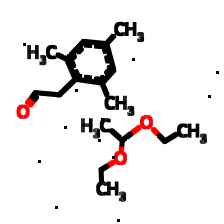 CCOC(C)OCC.Cc1cc(C)c(CC=O)c(C)c1